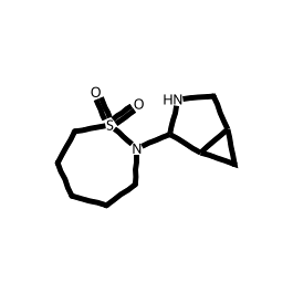 O=S1(=O)CCCCCN1C1NCC2CC21